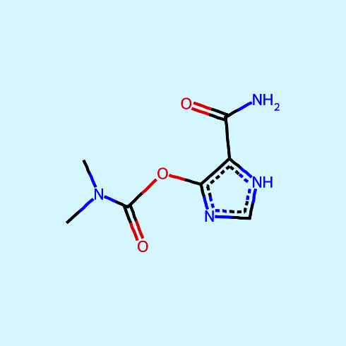 CN(C)C(=O)Oc1nc[nH]c1C(N)=O